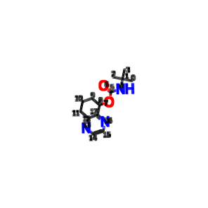 CC(C)(C)NC(=O)OC1CCCc2nccnc21